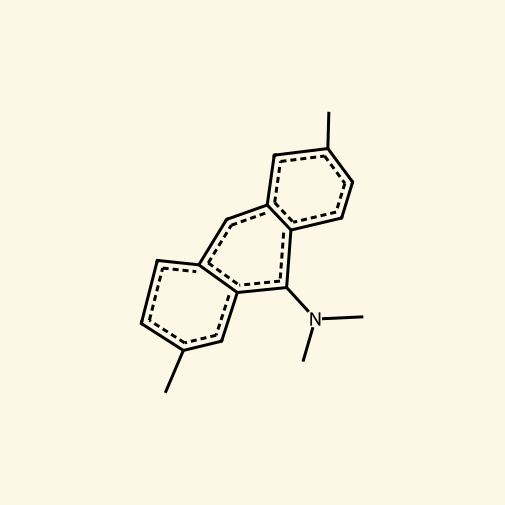 Cc1ccc2c(N(C)C)c3cc(C)ccc3cc2c1